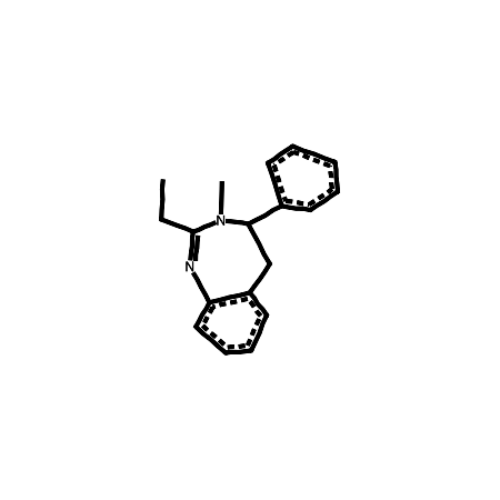 CCC1=Nc2ccccc2CC(c2ccccc2)N1C